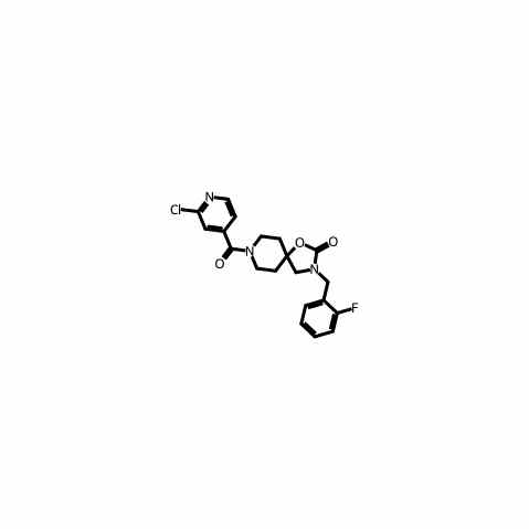 O=C1OC2(CCN(C(=O)c3ccnc(Cl)c3)CC2)CN1Cc1ccccc1F